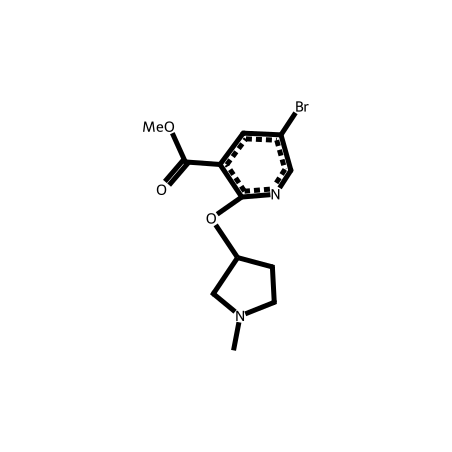 COC(=O)c1cc(Br)cnc1OC1CCN(C)C1